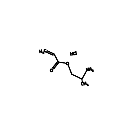 C=CC(=O)OCC(C)N.Cl